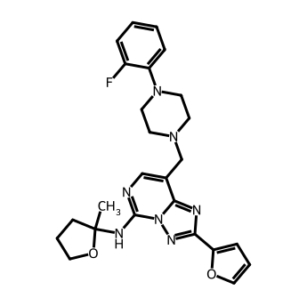 CC1(Nc2ncc(CN3CCN(c4ccccc4F)CC3)c3nc(-c4ccco4)nn23)CCCO1